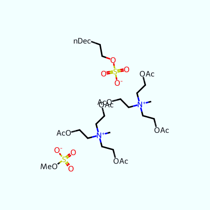 CC(=O)OCC[N+](C)(CCOC(C)=O)CCOC(C)=O.CC(=O)OCC[N+](C)(CCOC(C)=O)CCOC(C)=O.CCCCCCCCCCCCOS(=O)(=O)[O-].COS(=O)(=O)[O-]